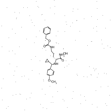 COc1ccc([C@H](N[C@H](CCCNC(=O)OCc2ccccc2)C(N)=O)C2CC2)cc1.Cl